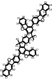 CC1(C)c2cc3c(cc2-c2c1cc(-c1ccc4c(c1)oc1cc5ccccc5cc14)c1c2oc2ccccc21)C(C)(C)c1cc(-c2ccc4c(c2)oc2cc5ccccc5cc24)c2oc4ccccc4c2c1-3